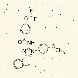 COc1ccc(-n2cc(-c3ccccc3F)nc2NC(=O)c2ccc(OC(F)F)cc2)cc1